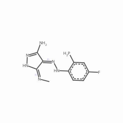 C/N=C1/NN=C(N)/C1=N/Nc1ccc(F)cc1P